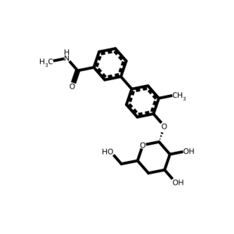 CNC(=O)c1cccc(-c2ccc(O[C@H]3OC(CO)CC(O)C3O)c(C)c2)c1